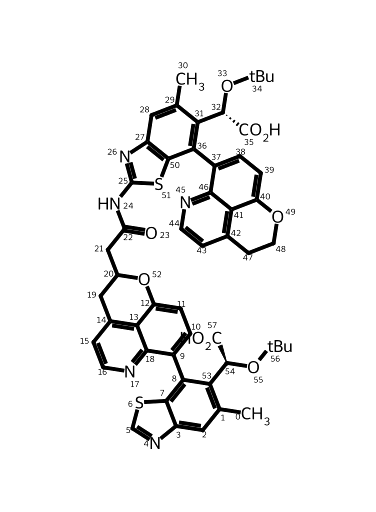 Cc1cc2ncsc2c(-c2ccc3c4c(ccnc24)CC(CC(=O)Nc2nc4cc(C)c([C@H](OC(C)(C)C)C(=O)O)c(-c5ccc6c7c(ccnc57)CCO6)c4s2)O3)c1[C@H](OC(C)(C)C)C(=O)O